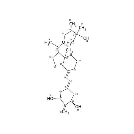 C=C1[C@H](O)CC(=C/C=C2\CCCC3(C)C2CCC3C(C)OC[C@H](C)C(C)(C)O)C[C@H]1O